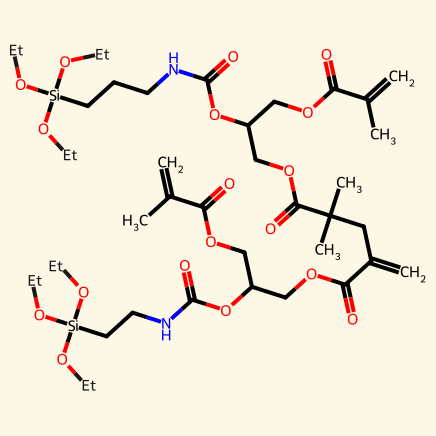 C=C(C)C(=O)OCC(COC(=O)C(=C)CC(C)(C)C(=O)OCC(COC(=O)C(=C)C)OC(=O)NCCC[Si](OCC)(OCC)OCC)OC(=O)NCC[Si](OCC)(OCC)OCC